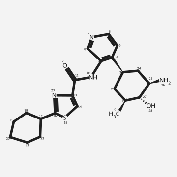 C[C@H]1C[C@@H](c2ccncc2NC(=O)c2csc(C3CCCCC3)n2)C[C@@H](N)[C@@H]1O